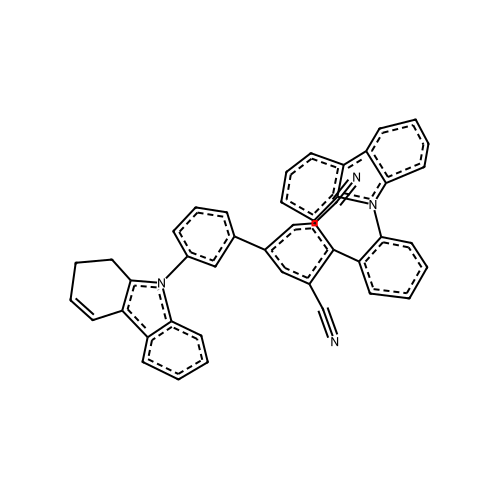 N#Cc1cc(-c2cccc(-n3c4c(c5ccccc53)C=CCC4)c2)cc(C#N)c1-c1ccccc1-n1c2ccccc2c2ccccc21